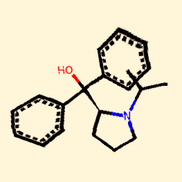 CC(C)N1CCC[C@H]1C(O)(c1ccccc1)c1ccccc1